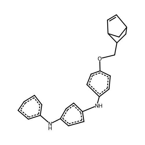 C1=CC2CC1CC2COc1ccc(Nc2ccc(Nc3ccccc3)cc2)cc1